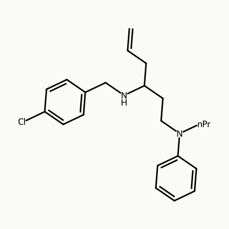 C=CCC(CCN(CCC)c1ccccc1)NCc1ccc(Cl)cc1